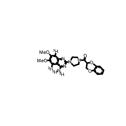 [2H]c1c(OC)c(OC)c([2H])c2c(N([2H])[2H])nc(N3CCN(C(=O)C4COc5ccccc5O4)CC3)nc12